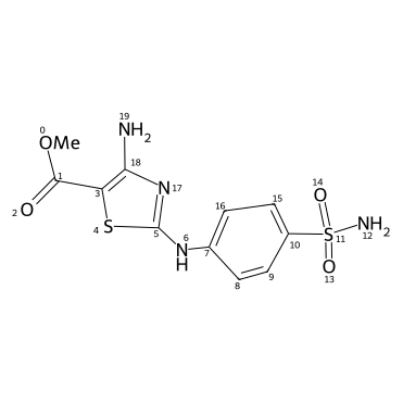 COC(=O)c1sc(Nc2ccc(S(N)(=O)=O)cc2)nc1N